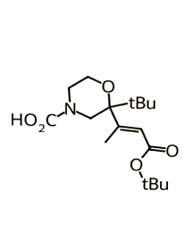 CC(=CC(=O)OC(C)(C)C)C1(C(C)(C)C)CN(C(=O)O)CCO1